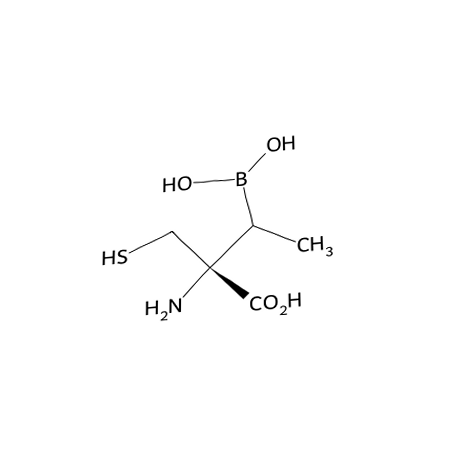 CC(B(O)O)[C@](N)(CS)C(=O)O